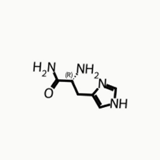 NC(=O)[C@H](N)Cc1c[nH]cn1